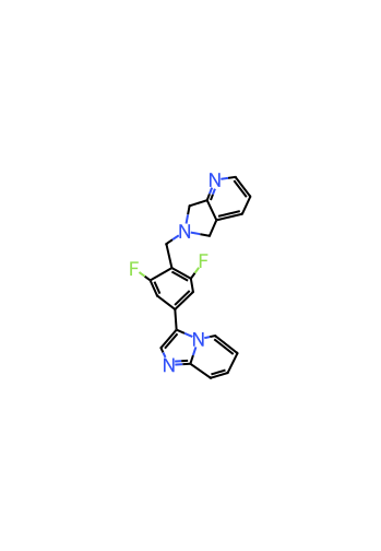 Fc1cc(-c2cnc3ccccn23)cc(F)c1CN1Cc2cccnc2C1